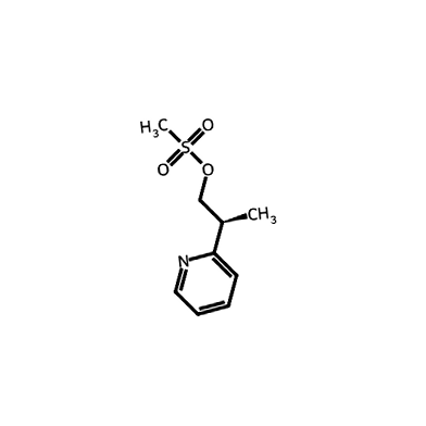 C[C@H](COS(C)(=O)=O)c1ccccn1